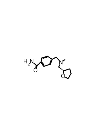 CN(Cc1ccc(C(N)=O)cc1)C[C@H]1CCCO1